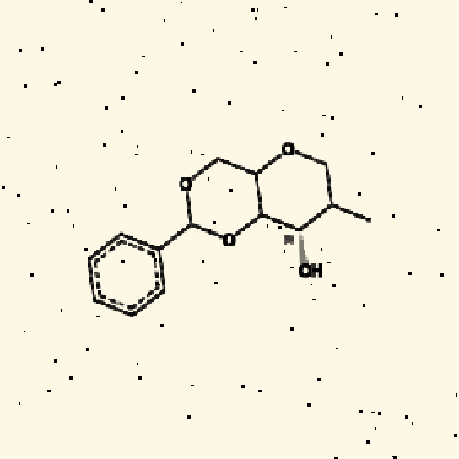 CC1COC2COC(c3ccccc3)OC2[C@H]1O